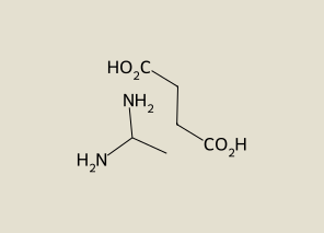 CC(N)N.O=C(O)CCC(=O)O